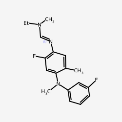 CCN(C)/C=N/c1cc(C)c(N(C)c2cccc(F)c2)cc1F